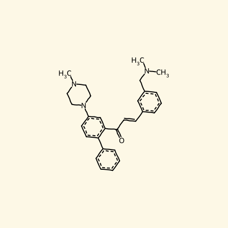 CN(C)Cc1cccc(C=CC(=O)c2cc(N3CCN(C)CC3)ccc2-c2ccccc2)c1